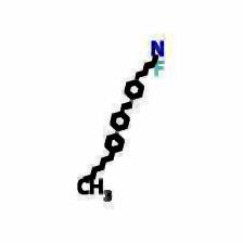 CCCCCCCc1ccc([C@H]2CC[C@H](/C=C/[C@H]3CC[C@H](CCC=C(F)C#N)CC3)CC2)cc1